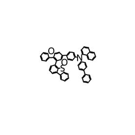 c1ccc(-c2ccc(N(c3ccc4c(c3)oc3c(-c5cccc6c5sc5ccccc56)c5c(cc34)oc3ccccc35)c3cccc4ccccc34)cc2)cc1